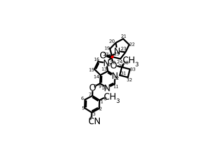 Cc1cc(C#N)ccc1Oc1ncnc2c1ccn2C1CC2CCC(C1)N2C(=O)OC1(C)CCC1